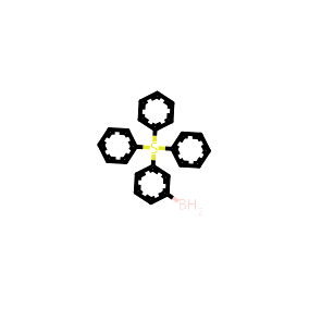 Bc1cccc(S(c2ccccc2)(c2ccccc2)c2ccccc2)c1